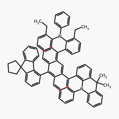 CCc1ccccc1N(c1ccccc1)c1c(CC)cccc1-c1cccc2c(-c3cccc4c3-c3ccccc3C43CCCC3)c3cccc(-c4cccc5c4N(c4ccccc4)c4ccccc4C5(C)C)c3cc12